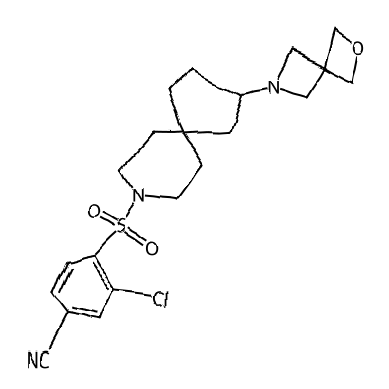 N#Cc1ccc(S(=O)(=O)N2CCC3(CCC(N4CC5(COC5)C4)C3)CC2)c(Cl)c1